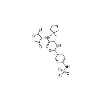 CC[C@@H]1OCC(=O)[C@H]1NC(=O)[C@H](CC1(C)CCCC1)NC(=O)c1ccc(NS(=O)(=O)CC)cc1